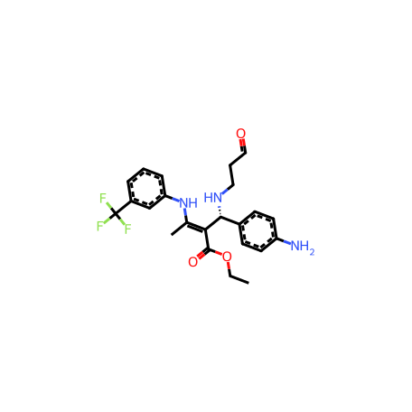 CCOC(=O)/C(=C(\C)Nc1cccc(C(F)(F)F)c1)[C@H](NCCC=O)c1ccc(N)cc1